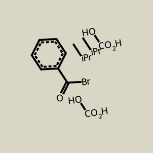 CC(C)C.CC(C)C.O=C(Br)c1ccccc1.O=C(O)O.O=C(O)O